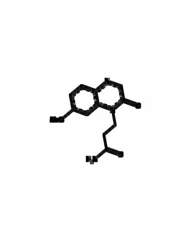 COc1ccc2ncc(=O)n(CCC(N)=O)c2c1